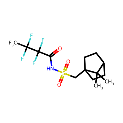 CC1(C)C2CCC1(CS(=O)(=O)NC(=O)C(F)(F)C(F)(F)C(F)(F)F)CC2